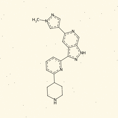 Cn1cc(-c2cc3c(-c4cccc(C5CCNCC5)n4)n[nH]c3cn2)cn1